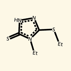 CCSc1n[nH]c(=S)n1CC